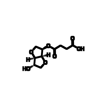 O=C(O)CCC(=O)O[C@@H]1CO[C@H]2[C@@H]1OC[C@@H]2O